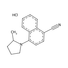 CC1CCCN1c1ccc(C#N)c2ccccc12.Cl